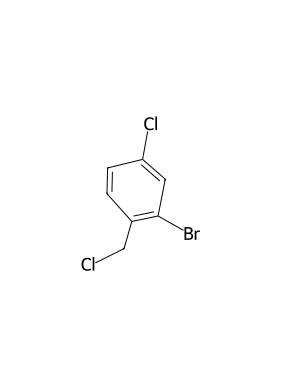 ClCc1ccc(Cl)cc1Br